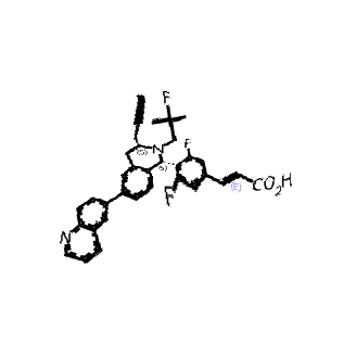 C#C[C@@H]1Cc2cc(-c3ccc4ncccc4c3)ccc2[C@@H](c2c(F)cc(/C=C/C(=O)O)cc2F)N1CC(C)(C)F